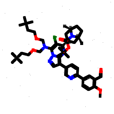 COc1ccc(-c2ccc(-c3cnn4c(N(COCC[Si](C)(C)C)COCC[Si](C)(C)C)c(Br)c([C@@H]5C[C@H]6CC[C@@H](C5)N6C(=O)OC(C)(C)C)nc34)cn2)cc1C=O